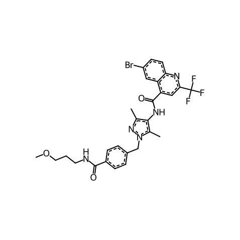 COCCCNC(=O)c1ccc(Cn2nc(C)c(NC(=O)c3cc(C(F)(F)F)nc4ccc(Br)cc34)c2C)cc1